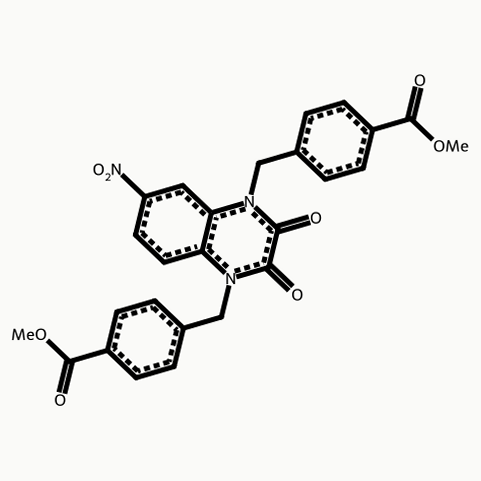 COC(=O)c1ccc(Cn2c(=O)c(=O)n(Cc3ccc(C(=O)OC)cc3)c3cc([N+](=O)[O-])ccc32)cc1